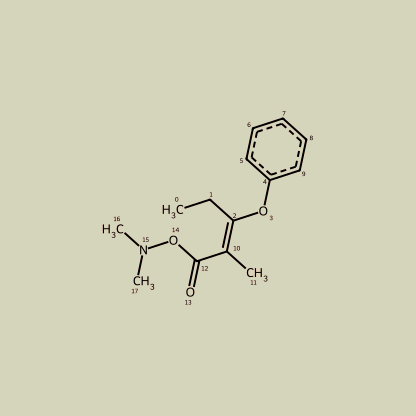 CC/C(Oc1ccccc1)=C(/C)C(=O)ON(C)C